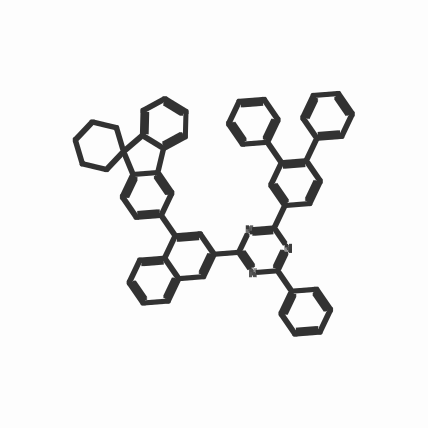 c1ccc(-c2nc(-c3ccc(-c4ccccc4)c(-c4ccccc4)c3)nc(-c3cc(-c4ccc5c(c4)-c4ccccc4C54CCCCC4)c4ccccc4c3)n2)cc1